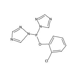 Clc1ccccc1OP(n1cncn1)n1cncn1